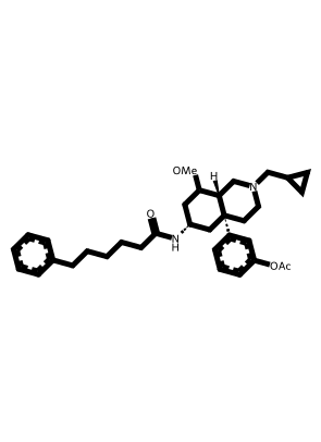 COC1C[C@@H](NC(=O)CCCCCc2ccccc2)C[C@]2(c3cccc(OC(C)=O)c3)CCN(CC3CC3)C[C@@H]12